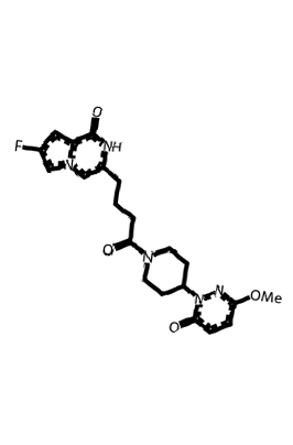 COc1ccc(=O)n(C2CCN(C(=O)CCCc3cn4cc(F)cc4c(=O)[nH]3)CC2)n1